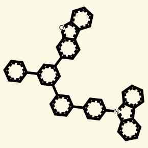 c1ccc(-c2cc(-c3cccc(-c4ccc(-n5c6ccccc6c6ccccc65)cc4)c3)cc(-c3ccc4c(c3)oc3ccccc34)c2)cc1